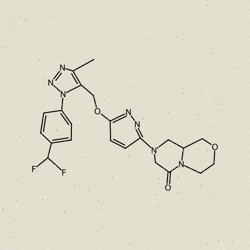 Cc1nnn(-c2ccc(C(F)F)cc2)c1COc1ccc(N2CC(=O)N3CCOCC3C2)nn1